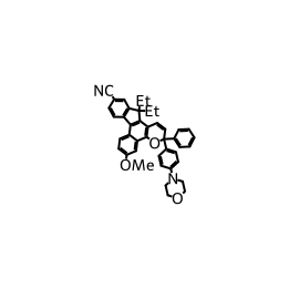 CCC1(CC)c2cc(C#N)ccc2-c2c1c1c(c3cc(OC)ccc23)OC(c2ccccc2)(c2ccc(N3CCOCC3)cc2)C=C1